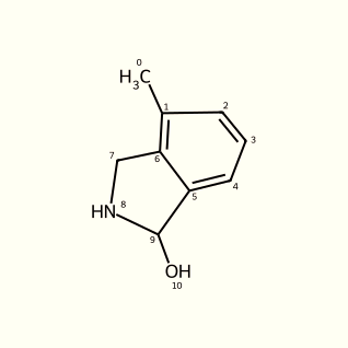 Cc1cccc2c1CNC2O